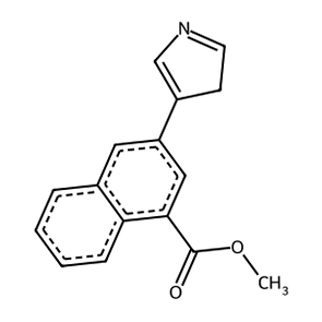 COC(=O)c1cc(C2=CN=CC2)cc2ccccc12